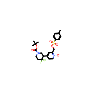 Cc1ccc(S(=O)(=O)OCc2cc(C3CN(C(=O)OC(C)(C)C)CCC3(F)F)cc[n+]2[O-])cc1